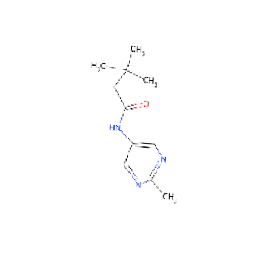 Cc1ncc(NC(=O)CC(C)(C)C)cn1